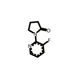 O=C1CCCN1c1ncc[c]c1F